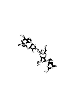 COCCOC1C(O)[C@@H](COP(=O)(S)OC2C(OCCOC)[C@H](n3cnc4c(=O)[nH]c(N)nc43)O[C@@H]2CO)O[C@H]1n1cnc2c(N)ncnc21